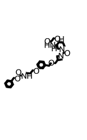 O=C1CO[C@H]2CCN(C(=O)N3CC(COCc4cccc(OCCCNC(=O)OCc5ccccc5)c4)C3)C[C@H]2N1